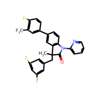 CC1(Cc2cc(F)cc(F)c2)C(=O)N(c2ccccn2)c2ccc(-c3ccc(F)c(C(F)(F)F)c3)cc21